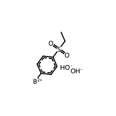 [B+2]c1ccc(S(=O)(=O)CC)cc1.[OH-].[OH-]